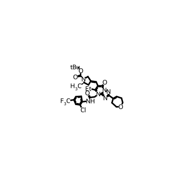 CCc1c(/C=C2\C[C@@H](C)N(C(=O)OC(C)(C)C)C2)c(=O)n2nc(C3=CCCOCC3)nc2n1CC(=O)Nc1ccc(C(F)(F)F)cc1Cl